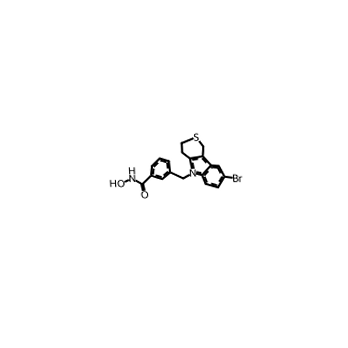 O=C(NO)c1cccc(Cn2c3c(c4cc(Br)ccc42)CSCC3)c1